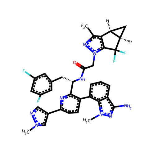 Cn1cc(-c2ccc(-c3cccc4c(N)nn(C)c34)c([C@H](Cc3cc(F)cc(F)c3)NC(=O)Cn3nc(C(F)(F)F)c4c3C(F)(F)[C@@H]3C[C@H]43)n2)cn1